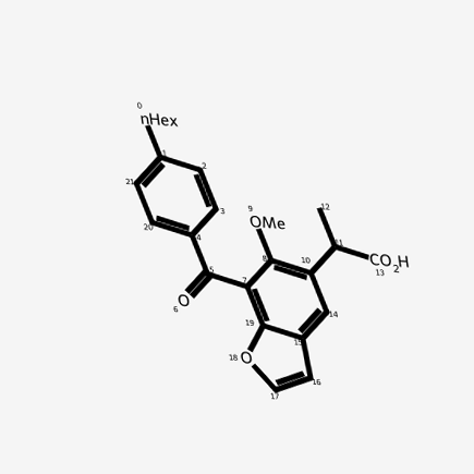 CCCCCCc1ccc(C(=O)c2c(OC)c(C(C)C(=O)O)cc3ccoc23)cc1